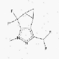 Cn1nc(C(F)F)c2c1C(F)(F)C1CC21